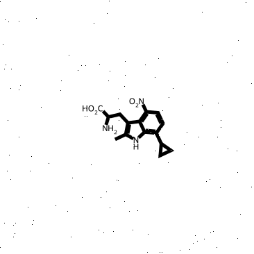 Cc1[nH]c2c(C3CC3)ccc([N+](=O)[O-])c2c1CC(N)C(=O)O